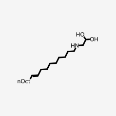 CCCCCCCCC=CCCCCCCCCNCC(O)O